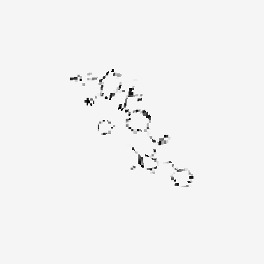 Cc1sc(Cc2ccccc2)c(C(=O)c2ccc(OS(=O)(=O)c3ccc(C(=O)O)c(O)c3)c(C3CCCC3)c2)c1C